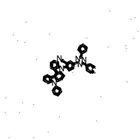 N#Cc1cc(-c2nc(-c3ccccc3)nc(-c3ccccc3)n2)ccc1-n1c2ccccc2c2c3c4ccccc4n(-c4ccccc4)c3ccc21